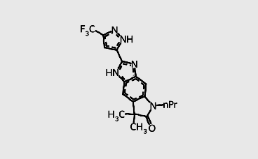 CCCN1C(=O)C(C)(C)c2cc3[nH]c(-c4cc(C(F)(F)F)n[nH]4)nc3cc21